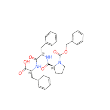 O=C(O)[C@H](CC1C=CC=CC1)NC(=O)[C@H](Cc1ccccc1)NC(=O)[C@@H]1CCCN1C(=O)OCc1ccccc1